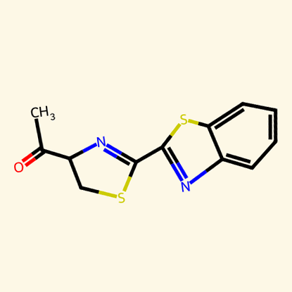 CC(=O)C1CSC(c2nc3ccccc3s2)=N1